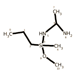 CCC[Si](C)(NC(C)N)OC